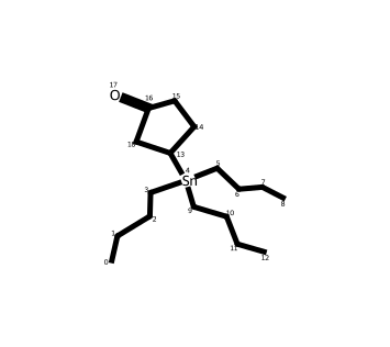 CCC[CH2][Sn]([CH2]CCC)([CH2]CCC)[CH]1CCC(=O)C1